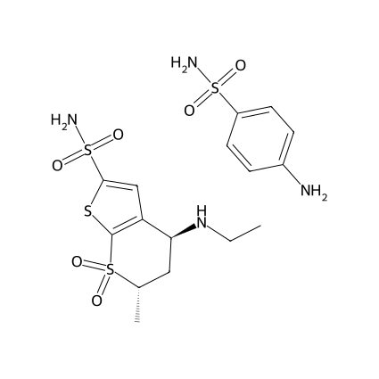 CCN[C@H]1C[C@H](C)S(=O)(=O)c2sc(S(N)(=O)=O)cc21.Nc1ccc(S(N)(=O)=O)cc1